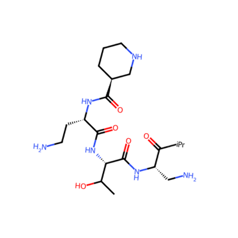 CC(C)C(=O)[C@H](CN)NC(=O)[C@@H](NC(=O)[C@H](CCN)NC(=O)[C@H]1CCCNC1)C(C)O